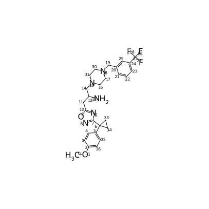 COc1ccc(C2(c3noc(CC(N)CN4CCN(Cc5cccc(C(F)(F)F)c5)CC4)n3)CC2)cc1